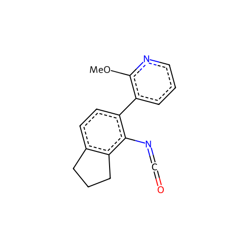 COc1ncccc1-c1ccc2c(c1N=C=O)CCC2